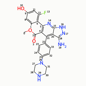 COC(=O)c1c(-c2ccc(O)cc2F)nc2[nH]nc(N)c2c1-c1ccc(N2CCNCC2)cc1